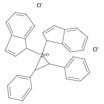 C1=C[CH]([Zr+2]2([CH]3C=Cc4ccccc43)[CH](c3ccccc3)[CH]2c2ccccc2)c2ccccc21.[Cl-].[Cl-]